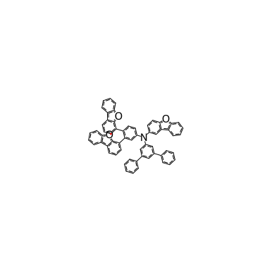 c1ccc(-c2cc(-c3ccccc3)cc(N(c3ccc(-c4cccc5c4oc4ccccc45)c(-c4cccc5c4oc4ccccc45)c3)c3ccc4oc5ccccc5c4c3)c2)cc1